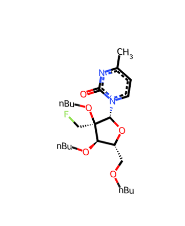 CCCCOC[C@H]1O[C@@H](n2ccc(C)nc2=O)[C@](CF)(OCCCC)[C@@H]1OCCCC